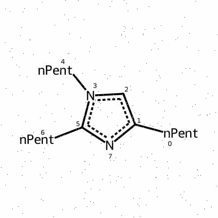 CCCCCc1cn(CCCCC)c(CCCCC)n1